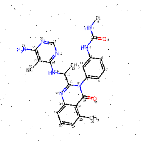 CCNC(=O)Nc1cccc(-n2c(C(C)Nc3ncnc(N)c3C#N)nc3cccc(C)c3c2=O)c1